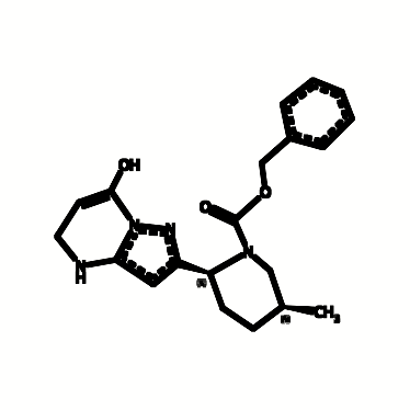 C[C@H]1CC[C@@H](c2cc3n(n2)C(O)=CCN3)N(C(=O)OCc2ccccc2)C1